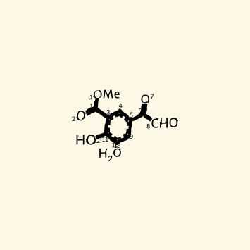 COC(=O)c1cc(C(=O)C=O)ccc1O.O